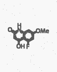 COc1cc(F)c2c(O)cc(=O)[nH]c2c1